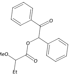 CCC(OC)C(=O)OC(C(=O)c1ccccc1)c1ccccc1